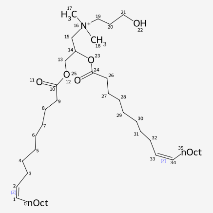 CCCCCCCC/C=C\CCCCCCCC(=O)OCC(C[N+](C)(C)CCCO)OC(=O)CCCCCCC/C=C\CCCCCCCC